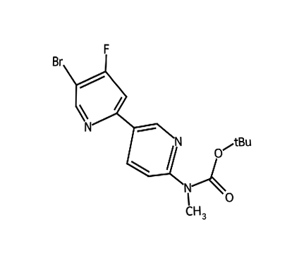 CN(C(=O)OC(C)(C)C)c1ccc(-c2cc(F)c(Br)cn2)cn1